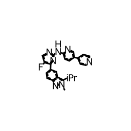 CC(C)c1c2cc(-c3nc(Nc4ccc(-c5ccncc5)cn4)ncc3F)ccc2nn1C